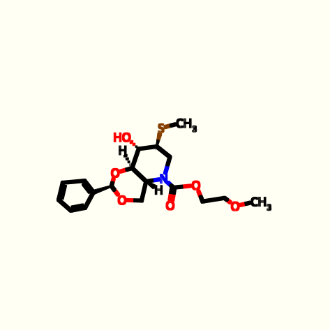 COCCOC(=O)N1C[C@H](SC)[C@@H](O)[C@@H]2O[C@H](c3ccccc3)OC[C@H]21